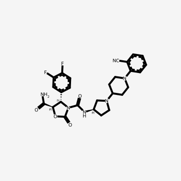 N#Cc1ccccc1N1CCC(N2CC[C@@H](NC(=O)N3C(=O)O[C@@H](C(N)=O)[C@@H]3c3ccc(F)c(F)c3)C2)CC1